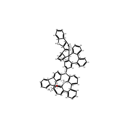 CC1(C)c2ccccc2-c2ccc(N(c3ccc4c(c3)-c3ccccc3-c3ccccc3C43c4ccccc4-c4c3ccc3c4oc4ccccc43)c3cccc4c3Oc3ccccc3-c3ccccc3-4)cc21